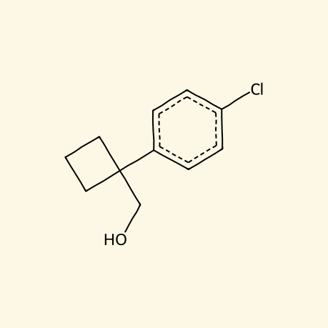 OCC1(c2ccc(Cl)cc2)CCC1